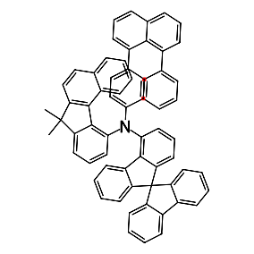 CC1(C)c2cccc(N(c3ccc(-c4cccc5cccc(-c6ccccc6)c45)cc3)c3cccc4c3-c3ccccc3C43c4ccccc4-c4ccccc43)c2-c2c1ccc1ccccc21